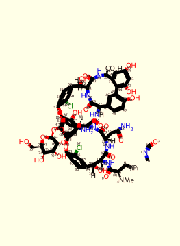 CN=C=O.CN[C@H](CC(C)C)C(=O)N[C@H]1C(=O)N[C@@H](CC(N)=O)C(=O)N[C@H]2C(=O)N[C@H]3C(=O)N[C@H](C(=O)N[C@@H](C(=O)O)c4cc(O)cc(O)c4-c4cc3ccc4O)[C@H](O)c3ccc(c(Cl)c3)Oc3cc2cc(c3O[C@@H]2O[C@H](CO)[C@@H](O)[C@H](O)[C@H]2O[C@H]2C[C@](C)(N)C(O)[C@H](C)O2)Oc2ccc(cc2Cl)[C@H]1O